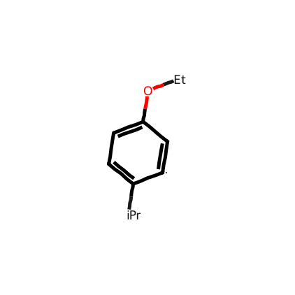 CCOc1c[c]c(C(C)C)cc1